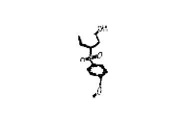 CCC(CCO)S(=O)(=O)c1ccc(OC)cc1